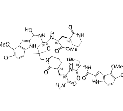 COC(=O)[C@H](C[C@@H]1CCCNC1=O)NC(=O)[C@H](CC(C)(C)CN1CCC[C@@H](C[C@H](NC(=O)[C@H](CC(C)(C)C)NC(=O)c2cc3c(OC)c(Cl)ccc3[nH]2)C(N)=O)C1=O)NC(O)c1cc2c(OC)c(Cl)ccc2[nH]1